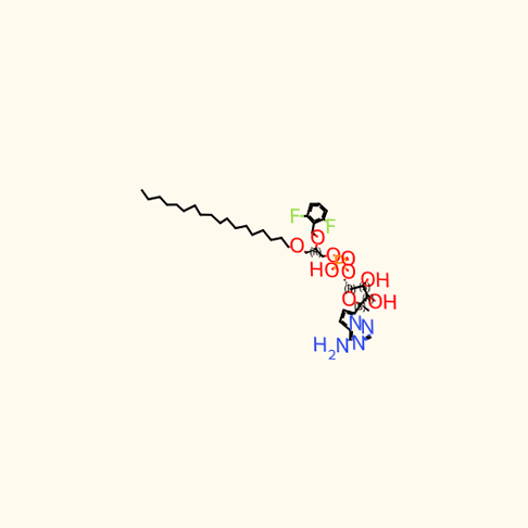 CCCCCCCCCCCCCCCCCCOC[C@H](COP(=O)(O)OC[C@H]1O[C@@](C)(c2ccc3c(N)ncnn23)[C@H](O)[C@@H]1O)OCc1c(F)cccc1F